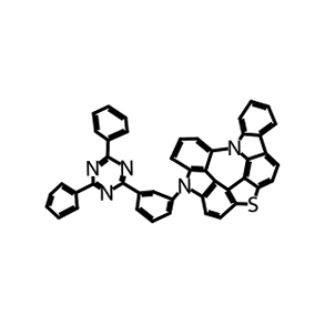 c1ccc(-c2nc(-c3ccccc3)nc(-c3cccc(-n4c5ccc6sc7ccc8c9ccccc9n9c%10cccc4c%10c5c6c7c89)c3)n2)cc1